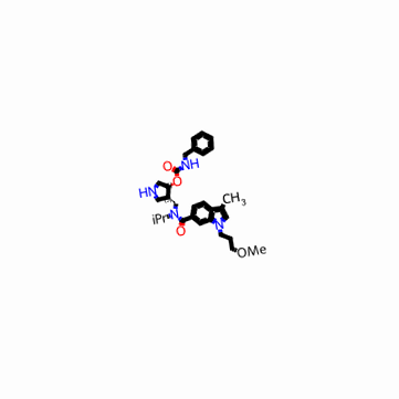 COCCCn1cc(C)c2ccc(C(=O)N(C[C@@H]3CNC[C@H]3OC(=O)NCc3ccccc3)C(C)C)cc21